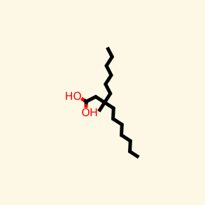 CCCCCCCC(C)(CCCCCC)CC(O)O